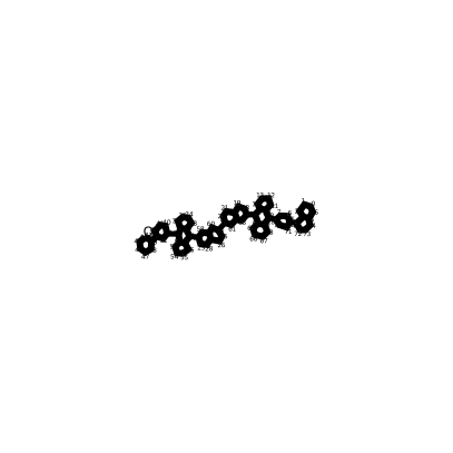 c1ccc2c(-c3ccc(-c4c5ccccc5c(-c5ccc6ccc(-c7ccc8ccc(-c9c%10ccccc%10c(-c%10ccc%11oc%12ccccc%12c%11c%10)c%10ccccc9%10)cc8c7)cc6c5)c5ccccc45)cc3)cccc2c1